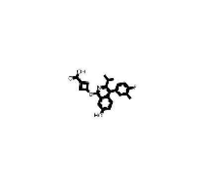 Cc1cc(-c2c(C(C)C)nc(OC3CC(C(=O)O)C3)c3cc(O)ccc23)ccc1F